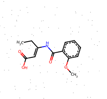 CCC(=CC(=O)O)NC(=O)c1ccccc1OC